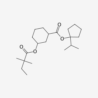 CCC(C)(C)C(=O)OC1CCCC(C(=O)OC2(C(C)C)CCCC2)C1